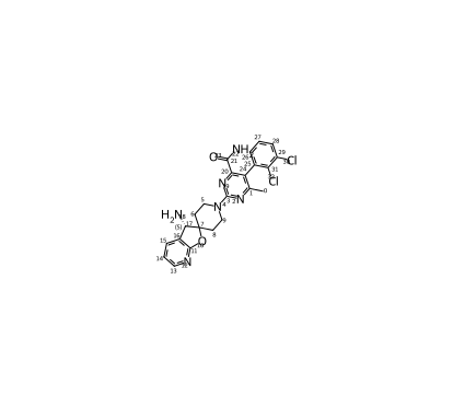 Cc1nc(N2CCC3(CC2)Oc2ncccc2[C@@H]3N)nc(C(N)=O)c1-c1cccc(Cl)c1Cl